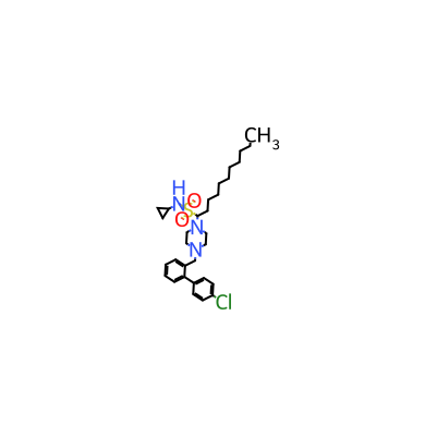 CCCCCCCCCCC(N1CCN(Cc2ccccc2-c2ccc(Cl)cc2)CC1)S(=O)(=O)NC1CC1